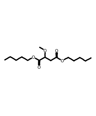 CCCCCOC(=O)CC(OC)C(=O)OCCCCC